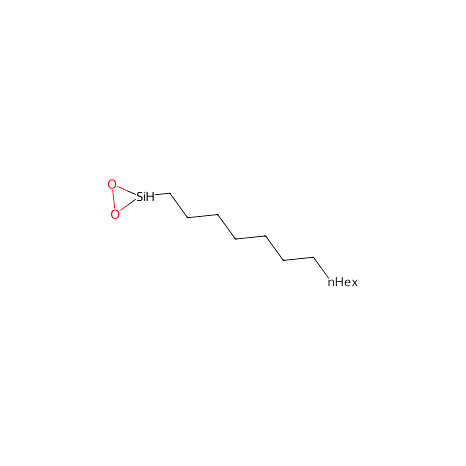 CCCCCCCCCCCCC[SiH]1OO1